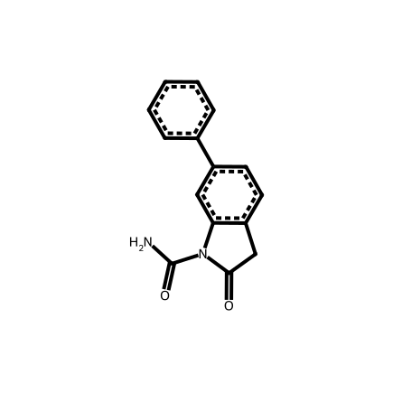 NC(=O)N1C(=O)Cc2ccc(-c3ccccc3)cc21